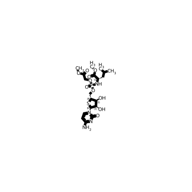 COC(=O)COP(=O)(N[C@@H](CC(C)C)C(=O)OC)OC[C@H]1S[C@@H](n2ccc(N)nc2=O)[C@@H](O)[C@@H]1O